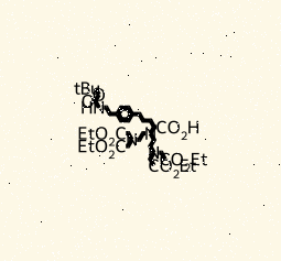 CCOC(=O)CN(CCN(CCN(CC(=O)OCC)CC(=O)OCC)C(CCCc1ccc(CCNC(=O)OC(C)(C)C)cc1)C(=O)O)CC(=O)OCC